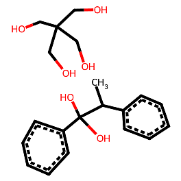 CC(c1ccccc1)C(O)(O)c1ccccc1.OCC(CO)(CO)CO